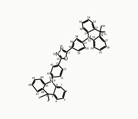 CC1(C)c2ccccc2N(c2ccc(-c3nnc(-c4ccc(N5c6ccccc6C(C)(C)c6ccccc65)cc4)o3)cc2)c2ccccc21